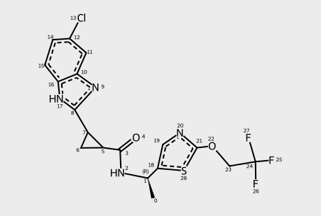 C[C@@H](NC(=O)C1CC1c1nc2cc(Cl)ccc2[nH]1)c1cnc(OCC(F)(F)F)s1